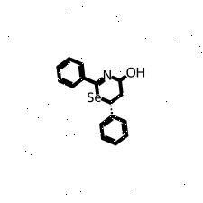 OC1C[C@H](c2ccccc2)[Se]C(c2ccccc2)=N1